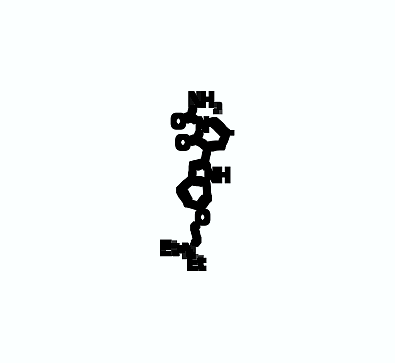 CCN(CC)CCOc1ccc2cc(-c3c[c]cn(C(N)=O)c3=O)[nH]c2c1